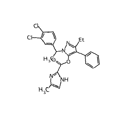 CCc1nn(C(C)c2ccc(Cl)c(Cl)c2)c(OC(=O)c2nc(C)c[nH]2)c1-c1ccccc1